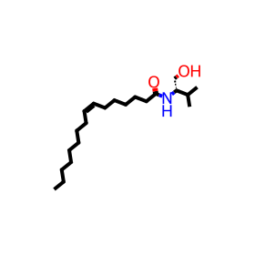 CCCCCCCC/C=C\CCCCCC(=O)N[C@H](CO)C(C)C